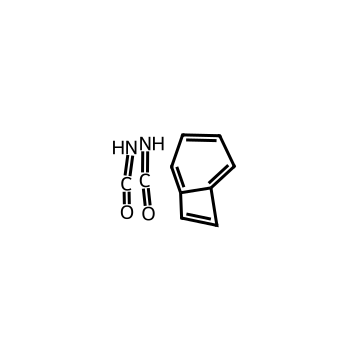 C1=Cc2ccccc21.N=C=O.N=C=O